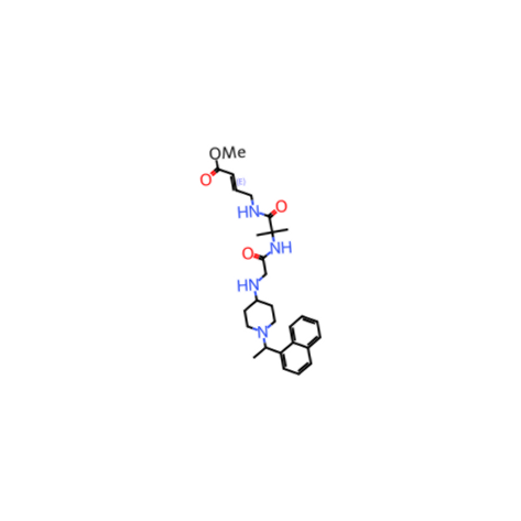 COC(=O)/C=C/CNC(=O)C(C)(C)NC(=O)CNC1CCN(C(C)c2cccc3ccccc23)CC1